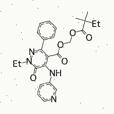 CCn1nc(-c2ccccc2)c(C(=O)OCOC(=O)C(C)(C)CC)c(Nc2cccnc2)c1=O